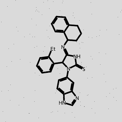 CCc1ccccc1C1C(=NC2CCCc3ccccc32)NC(=S)N1c1ccc2[nH]cnc2c1